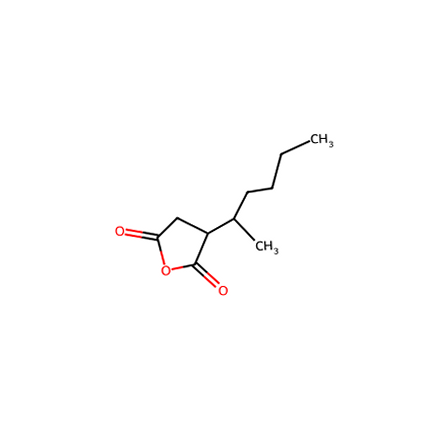 CCCCC(C)C1CC(=O)OC1=O